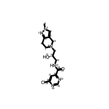 Cn1cc2c(n1)CCN(C[C@@H](O)CNC(=O)c1cc(Cl)ncn1)C2